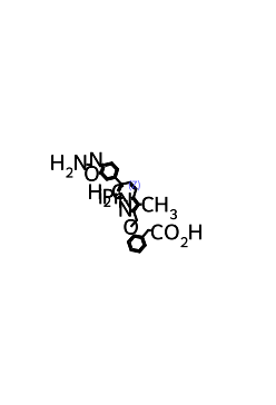 C=C(/C=C\c1c(C)c(COc2ccccc2CC(=O)O)nn1C(C)C)c1ccc2nc(N)oc2c1